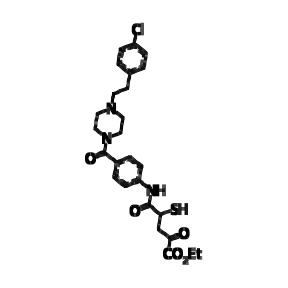 CCOC(=O)C(=O)CC(S)C(=O)Nc1ccc(C(=O)N2CCN(CCc3ccc(Cl)cc3)CC2)cc1